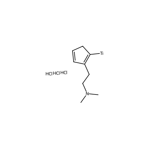 CN(C)CCC1=[C]([Ti])CC=C1.Cl.Cl.Cl